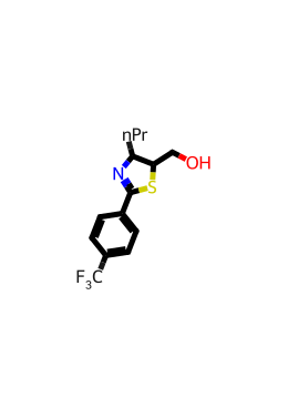 CCCC1N=C(c2ccc(C(F)(F)F)cc2)SC1CO